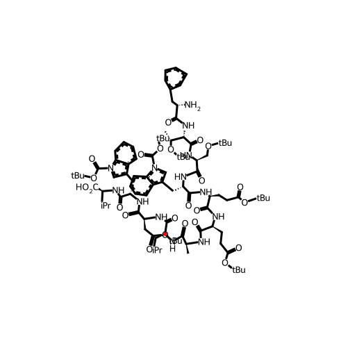 CC(C)C[C@H](NC(=O)[C@H](C)NC(=O)[C@H](CCC(=O)OC(C)(C)C)NC(=O)[C@H](CCC(=O)OC(C)(C)C)NC(=O)[C@H](Cc1cn(C(=O)OC(C)(C)C)c2ccccc12)NC(=O)[C@H](COC(C)(C)C)NC(=O)[C@@H](NC(=O)[C@@H](N)Cc1ccccc1)[C@@H](C)OC(C)(C)C)C(=O)N[C@@H](CC(=O)OC(C)(C)C)C(=O)N[C@@H](Cc1cn(C(=O)OC(C)(C)C)c2ccccc12)C(=O)N[C@H](C(=O)O)C(C)C